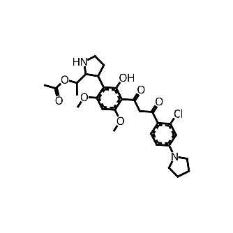 COc1cc(OC)c(C2CCNC2C(C)OC(C)=O)c(O)c1C(=O)CC(=O)c1ccc(N2CCCC2)cc1Cl